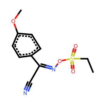 CCS(=O)(=O)O/N=C(/C#N)c1ccc(OC)cc1